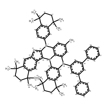 Cc1cc2c3c(c1)N(c1ccc4c(c1)C(C)(C)CCC4(C)C)c1oc4cc5c(cc4c1B3c1cc3c(cc1N2c1cc(-c2ccccc2)cc(-c2ccccc2)c1)C(C)(C)CCC3(C)C)C(C)(C)CCC5(C)C